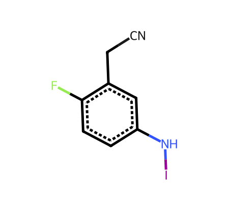 N#CCc1cc(NI)ccc1F